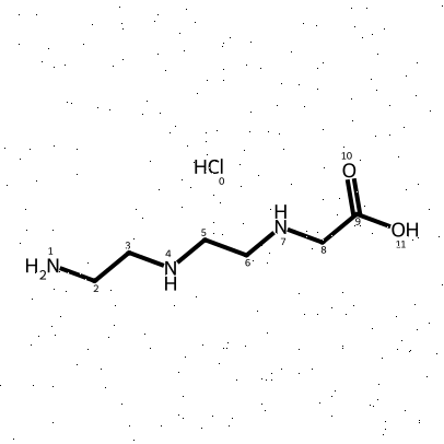 Cl.NCCNCCNCC(=O)O